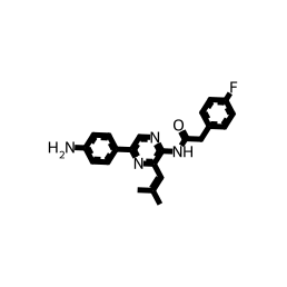 CC(C)=Cc1nc(-c2ccc(N)cc2)cnc1NC(=O)Cc1ccc(F)cc1